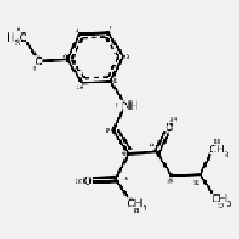 COc1cccc(N/C=C(/C(C)=O)C(=O)CC(C)C)c1